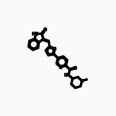 CN1CCCC(NC(=O)c2ccc(-c3ccc(/C=C4/C(=O)Nc5ccccc54)o3)cn2)C1